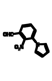 O=Cc1cccc(-n2cccc2)c1[N+](=O)[O-]